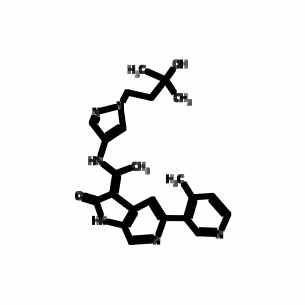 C/C(Nc1cnn(CCC(C)(C)O)c1)=C1/C(=O)Nc2cnc(-c3cnccc3C)cc21